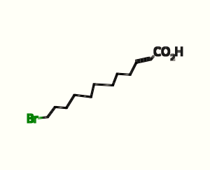 O=C(O)C=CCCCCCCCCCBr